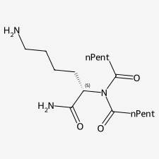 CCCCCC(=O)N(C(=O)CCCCC)[C@@H](CCCCN)C(N)=O